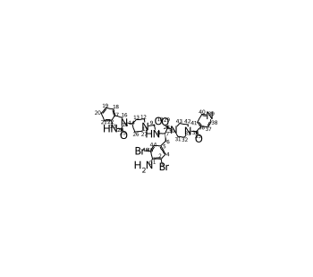 Nc1c(Br)cc(C[C@@H](NC(=O)N2CCC(N3Cc4ccccc4NC3=O)CC2)C(=O)N2CCN(C(=O)c3ccncc3)CC2)cc1Br